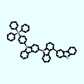 c1ccc([Si](c2ccccc2)(c2ccccc2)c2ccc(-n3c4ccccc4c4cc(-n5c6ccccc6c6c(-c7ccc8sc9ccccc9c8c7)cccc65)ccc43)cc2)cc1